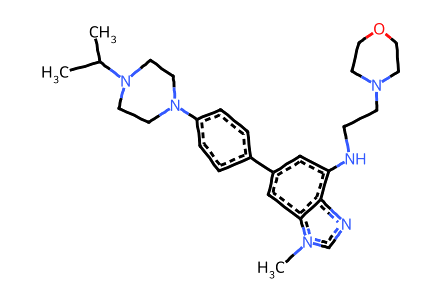 CC(C)N1CCN(c2ccc(-c3cc(NCCN4CCOCC4)c4ncn(C)c4c3)cc2)CC1